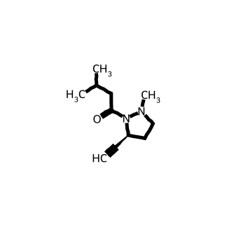 C#C[C@@H]1CCN(C)N1C(=O)CC(C)C